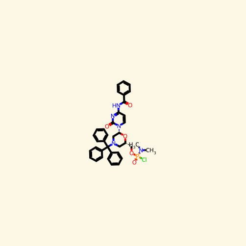 CN(C)P(=O)(Cl)OC[C@@H]1CN(C(c2ccccc2)(c2ccccc2)c2ccccc2)C[C@H](n2ccc(NC(=O)c3ccccc3)nc2=O)O1